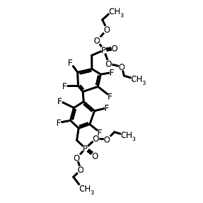 CCOOP(=O)(Cc1c(F)c(F)c(-c2c(F)c(F)c(CP(=O)(OOCC)OOCC)c(F)c2F)c(F)c1F)OOCC